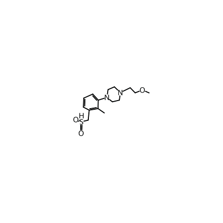 COCCN1CCN(c2cccc(C[SH](=O)=O)c2C)CC1